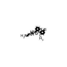 Cc1ccc(Cl)c2nc3cccc(C(=O)NCCNCCN)c3nc12